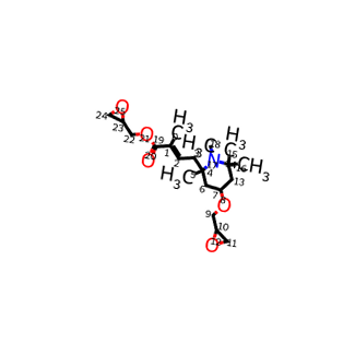 C/C(=C\CC1(C)CC(OCC2CO2)CC(C)(C)N1C)C(=O)OCC1CO1